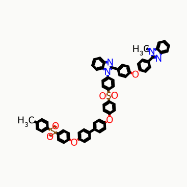 Cc1ccc(S(=O)(=O)c2ccc(Oc3ccc(-c4ccc(Oc5ccc(S(=O)(=O)c6ccc(-n7c(-c8ccc(Oc9ccc(-c%10nc%11ccccc%11n%10C)cc9)cc8)nc8ccccc87)cc6)cc5)cc4)cc3)cc2)cc1